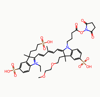 CC[N+]1=C(/C=C/C(C)=C/C=C2/N(CCCC(=O)ON3C(=O)CCC3=O)c3ccc(S(=O)(=O)O)cc3C2(C)CCOCCOC)C(C)(CCCS(=O)(=O)O)c2cc(S(=O)(=O)O)ccc21